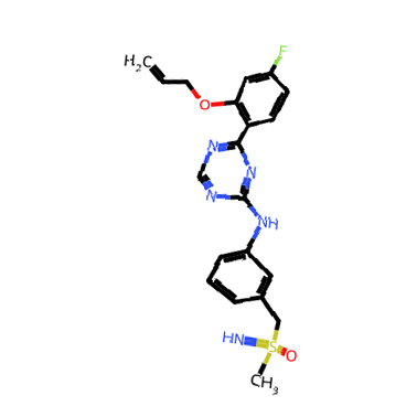 C=CCOc1cc(F)ccc1-c1ncnc(Nc2cccc(CS(C)(=N)=O)c2)n1